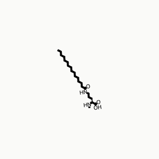 CCCCCCCCCCCCCCCC(=O)NCCC[C@H](NC)C(=O)O